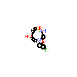 O=C1NS(=O)(=O)C2CC[C@H]2/C=C/[C@H](O)[C@@H]2CC[C@H]2CN2C[C@@]3(CCCc4cc(Cl)ccc43)COc3ccc1cc32